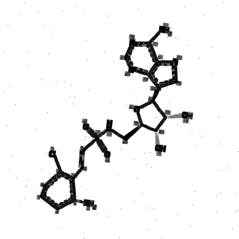 Nc1cccc(Cl)c1/C=C/S(=O)(=O)NC[C@H]1O[C@@H](n2cnc3c(N)ncnc32)[C@H](O)[C@@H]1O